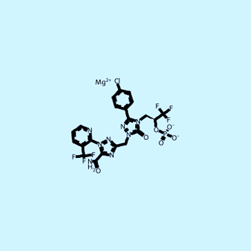 NC(=O)c1nc(Cn2nc(-c3ccc(Cl)cc3)n(C[C@H](OP(=O)([O-])[O-])C(F)(F)F)c2=O)nn1-c1ncccc1C(F)(F)F.[Mg+2]